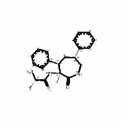 C[C@H](N)C(=O)N[C@]1(C)C(=O)NC[C@@H](c2ccccc2)C[C@@H]1c1ccccc1